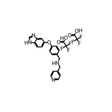 O=C(O)C(F)(F)F.O=C(O)C(F)(F)F.c1cc(CNCc2ccc(Oc3ccc4[nH]cnc4c3)cc2)ccn1